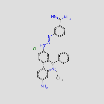 CC[n+]1c(-c2ccccc2)c2cc(N/N=N/c3cccc(C(=N)N)c3)ccc2c2ccc(N)cc21.[Cl-]